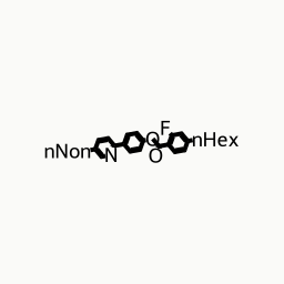 CCCCCCCCCc1ccc(-c2ccc(OC(=O)c3ccc(CCCCCC)cc3F)cc2)nc1